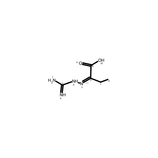 CC/C(=N/NC(=N)N)C(=O)O